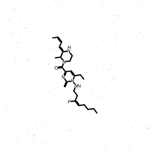 C=C1N=C(C(=O)N2CCN/C(=C\C=C/C)C2C)C=C(CC)N1NCC/C(F)=C\CCCC